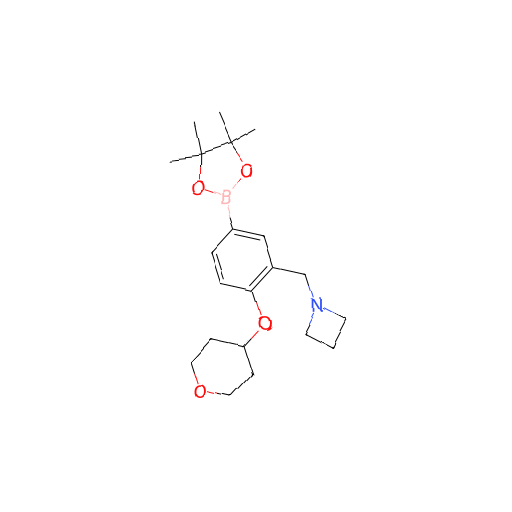 CC1(C)OB(c2ccc(OC3CCOCC3)c(CN3CCC3)c2)OC1(C)C